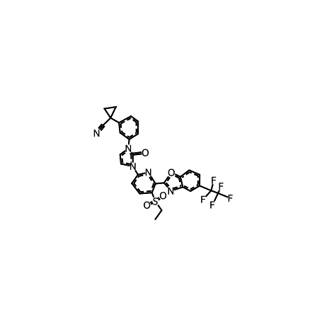 CCS(=O)(=O)c1ccc(-n2ccn(-c3cccc(C4(C#N)CC4)c3)c2=O)nc1-c1nc2cc(C(F)(F)C(F)(F)F)ccc2o1